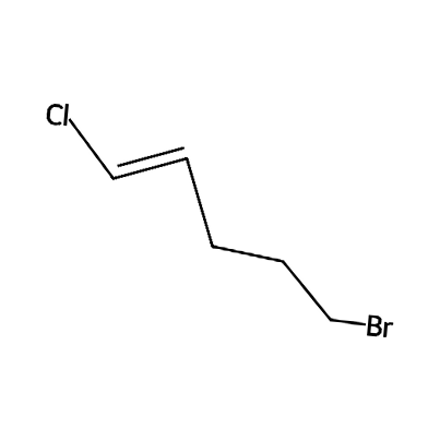 ClC=CCCCBr